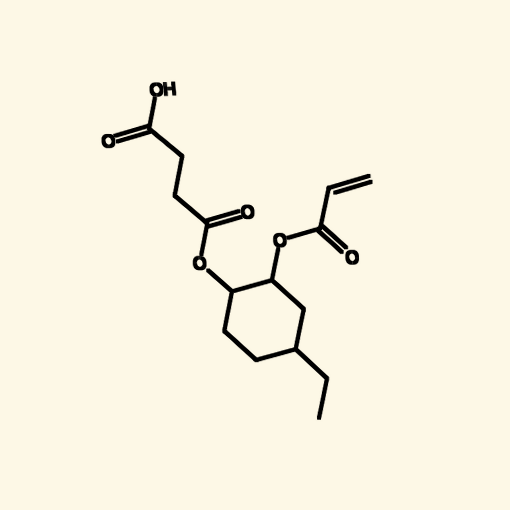 C=CC(=O)OC1CC(CC)CCC1OC(=O)CCC(=O)O